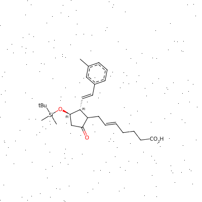 Cc1cccc(C=C[C@@H]2C(CC=CCCCC(=O)O)C(=O)C[C@H]2O[Si](C)(C)C(C)(C)C)c1